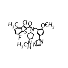 CN[C@H]1CC[C@H](N(Cc2cc(-c3cnccn3)ccc2OC)C(=O)c2sc3c(F)ccc(C)c3c2Cl)CC1